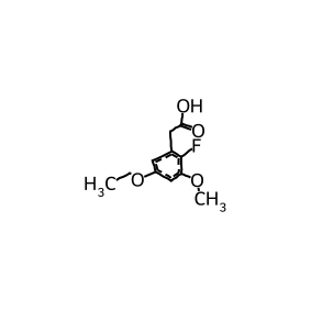 CCOc1cc(CC(=O)O)c(F)c(OC)c1